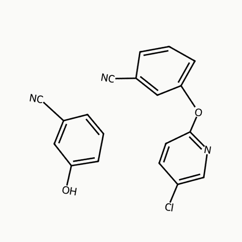 N#Cc1cccc(O)c1.N#Cc1cccc(Oc2ccc(Cl)cn2)c1